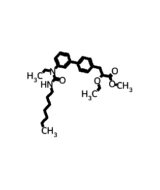 CCCCCCCNC(=O)N(CC)c1cccc(-c2ccc(CC(OCC)C(=O)OC)cc2)c1